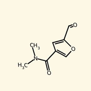 CN(C)C(=O)c1coc(C=O)c1